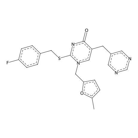 Cc1ccc(Cn2cc(Cc3cncnc3)c(=O)nc2SCc2ccc(F)cc2)o1